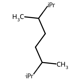 C[C](C)C(C)CCC(C)C(C)C